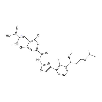 CO/C(=C\c1c(Cl)cc(C(=O)Nc2nc(-c3cccc(C(CCOC(C)C)OC)c3F)cs2)cc1Cl)C(=O)O